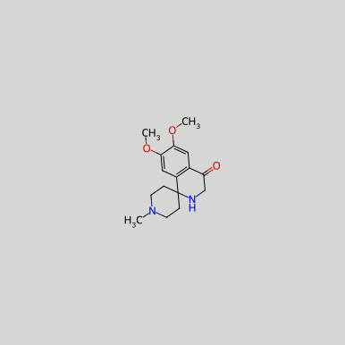 COc1cc2c(cc1OC)C1(CCN(C)CC1)NCC2=O